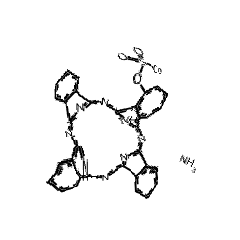 N.O=[S](=O)([Co])Oc1cccc2c3nc4nc(nc5[nH]c(nc6nc(nc([nH]3)c12)-c1ccccc1-6)c1ccccc51)-c1ccccc1-4